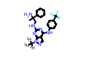 [2H]C([2H])([2H])n1ncc2c(Nc3ccc(C(F)(F)F)cc3)nc(NCC(C)(N)c3ccccc3)nc21